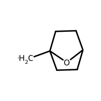 [CH2]C12CCC(CC1)O2